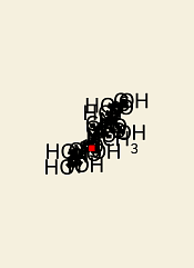 COc1cc(/N=N/c2c(SOOO)cc3cc(S(=O)(=O)O)cc(O)c3c2O)c(OC)cc1/N=N/c1ccc(/N=N/c2c(C(=O)O)cc(O)nc2O)cc1S(=O)(=O)O